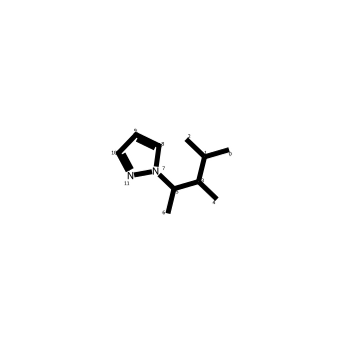 CC(C)C(C)C(C)n1cccn1